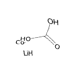 O=C(O)O.[Co].[LiH]